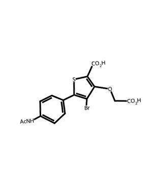 CC(=O)Nc1ccc(-c2sc(C(=O)O)c(OCC(=O)O)c2Br)cc1